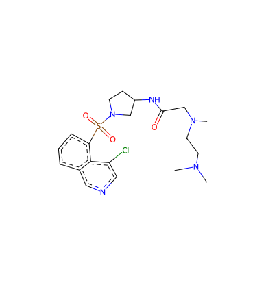 CN(C)CCN(C)CC(=O)NC1CCN(S(=O)(=O)c2cccc3cncc(Cl)c23)C1